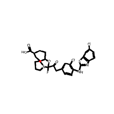 O=C(O)C1CCC(OC(F)(C(=O)Cc2ccc(Nc3nc4ccc(Cl)cc4s3)c(Cl)c2)N2CCCC2)CC1